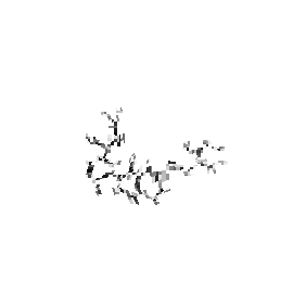 Cc1ccc(C(=O)NC2CC2)cc1-n1cnc2ccc(OCC3CCCCN3C)cc2c1=O